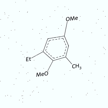 CCc1cc(OC)cc(C)c1OC